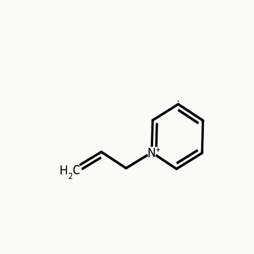 C=CC[n+]1c[c]ccc1